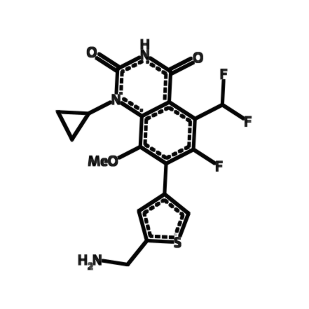 COc1c(-c2csc(CN)c2)c(F)c(C(F)F)c2c(=O)[nH]c(=O)n(C3CC3)c12